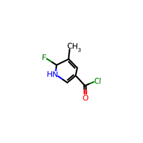 CC1=CC(C(=O)Cl)=CNC1F